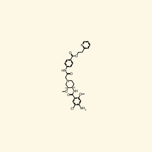 COc1cc(N)c(Cl)cc1C(=O)N[C@@H]1CCN(CC(=O)Nc2ccc(C(=O)OCCc3ccccn3)cc2)C[C@@H]1OC